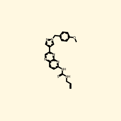 C=CCNC(=S)Nc1ccc2ncc(-c3cnn(Cc4ccc(OC)cc4)c3)nc2n1